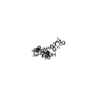 O=C1C2CC3CC1CC(C(=O)OCCC(COC(=O)C14CC5CC(C1)C(=O)C(C5)C4)OC(=O)C(F)(F)S(=O)(=O)O)(C3)C2